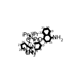 CC(C)[Si](OC[C@@]1(c2nnc3ccc(O[C@@H]4CCC(N)c5ccccc54)cn23)CCCN1C)(C(C)C)C(C)C